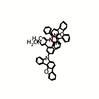 C=N/C=C(\C(=C/C)n1c2ccccc2c2c3oc4ccccc4c3ccc21)c1cc(-n2c3ccccc3c3c4oc5ccccc5c4ccc32)ccc1-c1nc(-c2ccccc2)nc(-c2ccccc2)n1